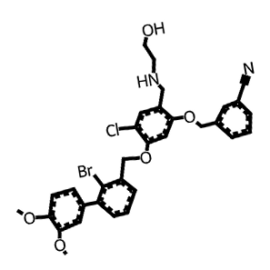 COc1ccc(-c2cccc(COc3cc(OCc4cccc(C#N)c4)c(CNCCO)cc3Cl)c2Br)cc1OC